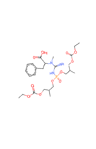 CCOC(=O)OCC(C)COP(=O)(NC(=N)N(C)C(Cc1ccccc1)C(=O)O)OCC(C)COC(=O)OCC